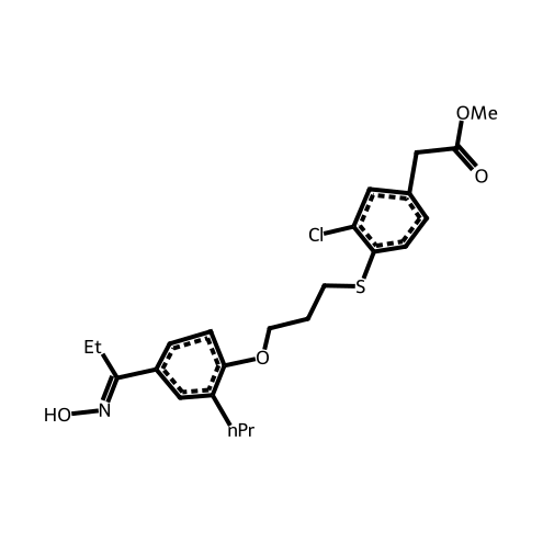 CCCc1cc(C(CC)=NO)ccc1OCCCSc1ccc(CC(=O)OC)cc1Cl